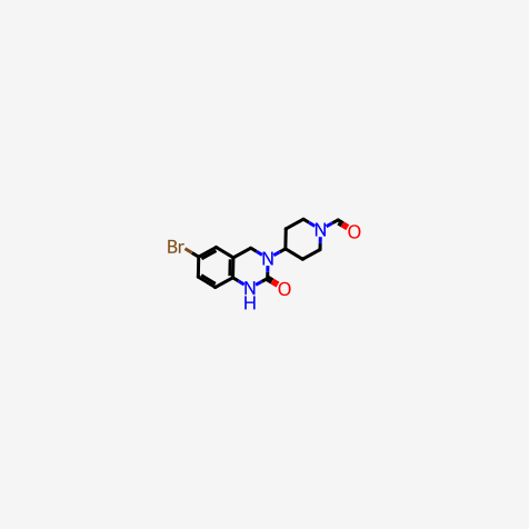 O=CN1CCC(N2Cc3cc(Br)ccc3NC2=O)CC1